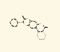 O=c1oc2cc3oc(=O)c4c(c3cc2nc1-c1ccccc1)CCCC4